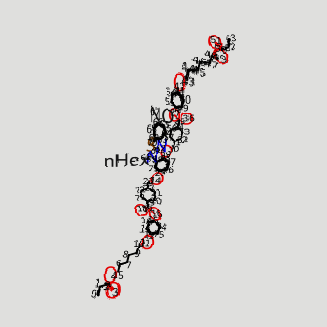 C=CC(=O)OCCCCCCOc1ccc(OC(=O)C2CCC(COc3ccc(OCC4CCC(C(=O)Oc5ccc(OCCCCCCOC(=O)C=C)cc5)CC4)c(N(CCCCCC)c4nc5ccc([N+](=O)[O-])cc5s4)c3)CC2)cc1